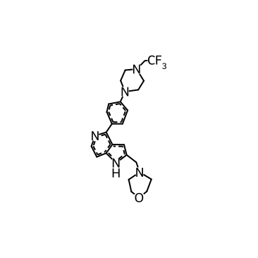 FC(F)(F)CN1CCN(c2ccc(-c3nccc4[nH]c(CN5CCOCC5)cc34)cc2)CC1